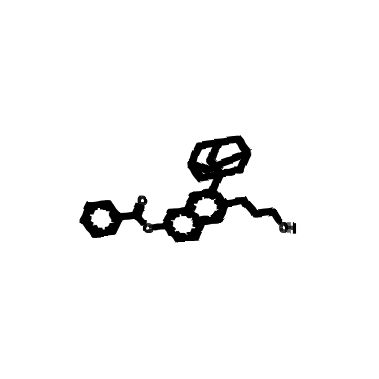 O=C(Oc1ccc2cc(CCCO)c(C34CC5CC(CC(C5)C3)C4)cc2c1)c1ccccc1